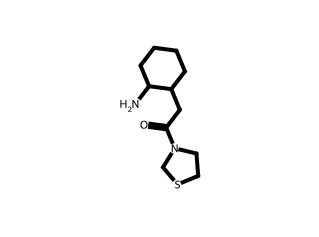 NC1CCCCC1CC(=O)N1CCSC1